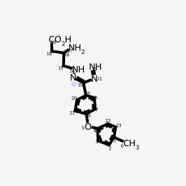 Cc1ccc(Oc2ccc(/C(N=N)=N/NCC(N)CC(=O)O)cc2)cc1